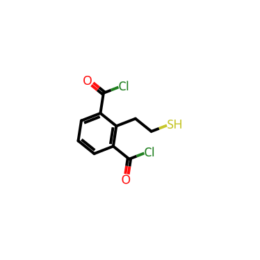 O=C(Cl)c1cccc(C(=O)Cl)c1CCS